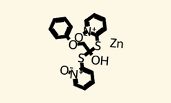 [O-][n+]1ccccc1SC(O)(COc1ccccc1)Sc1cccc[n+]1[O-].[Zn]